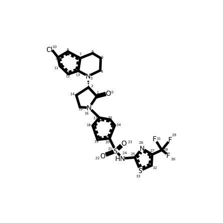 O=C1[C@@H](N2CCCc3cc(Cl)ccc32)CCN1c1ccc(S(=O)(=O)Nc2nc(C(F)(F)F)cs2)cc1